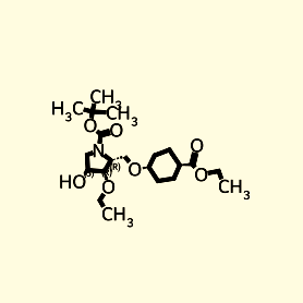 CCOC(=O)[C@H]1CC[C@H](OC[C@@H]2[C@@H](OCC)[C@@H](O)CN2C(=O)OC(C)(C)C)CC1